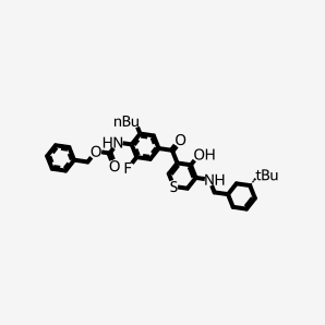 CCCCc1cc(C(=O)C2=CSCC(NCC3CC=C[C@@H](C(C)(C)C)C3)=C2O)cc(F)c1NC(=O)OCc1ccccc1